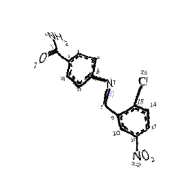 NC(=O)c1ccc(/N=C/c2cc([N+](=O)[O-])ccc2Cl)cc1